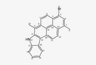 Cc1cc(Br)c2ccc3c(C)c4[nH]c5ccccc5c4c4ccc1c2c34